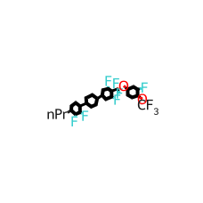 CCCc1ccc(-c2ccc(-c3cc(F)c(C(F)(F)Oc4ccc(OC(F)(F)F)c(F)c4)c(F)c3)cc2)c(F)c1F